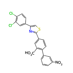 O=C(O)c1cc(-c2nc(-c3ccc(Cl)c(Cl)c3)cs2)ccc1-c1cccc([N+](=O)[O-])c1